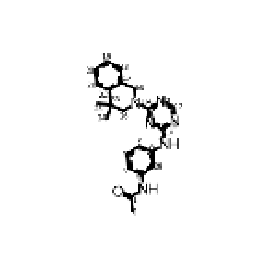 CC(=O)Nc1cccc(Nc2ncnc(N3Cc4ccccc4C(C)(C)C3)n2)c1